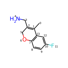 CC1=C(CN)COc2ccc(F)cc21